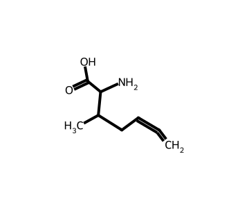 C=C=CCC(C)C(N)C(=O)O